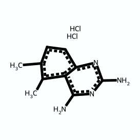 Cc1ccc2nc(N)nc(N)c2c1C.Cl.Cl